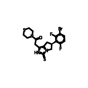 O=C(Cc1[nH]c(=S)n2c1C[C@@H](c1c(F)ccc(Br)c1F)C2)N1CCSCC1